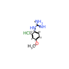 COc1ccc(NC(=N)N)cc1.Cl